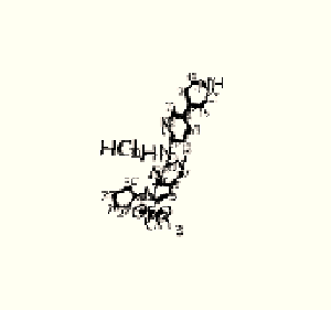 CS(=O)(=O)c1cc2cnc(Nc3ccc(C4CCNCC4)cn3)nc2n1C1CCCC1.Cl